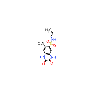 C=CCNS(=O)(=O)c1cc2[nH]c(=O)c(=O)[nH]c2cc1[N+](=O)[O-]